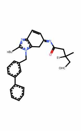 CCCCc1nc2c(n1Cc1cccc(-c3ccccc3)c1)CC(=NC(=O)CC(C)(CC)CC=O)C=C2